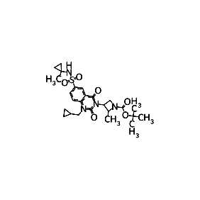 CC1C(n2c(=O)c3cc(S(=O)(=O)NC4(C)CC4)ccc3n(CC3CC3)c2=O)CN1C(=O)OC(C)(C)C